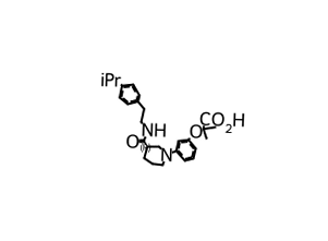 CC(C)c1ccc(CCNC(=O)[C@@H]2CCCN(c3cccc(OC(C)(C)C(=O)O)c3)C2)cc1